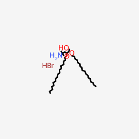 Br.CCCCCCCCCCCCCCCCCCOC(CO)C(CC(C)(C)N)OCCCCCCCCCCCCCCCCCC